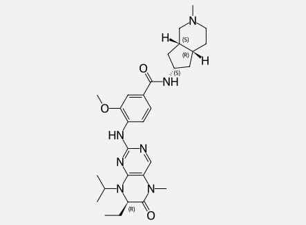 CC[C@@H]1C(=O)N(C)c2cnc(Nc3ccc(C(=O)N[C@H]4C[C@H]5CCN(C)C[C@H]5C4)cc3OC)nc2N1C(C)C